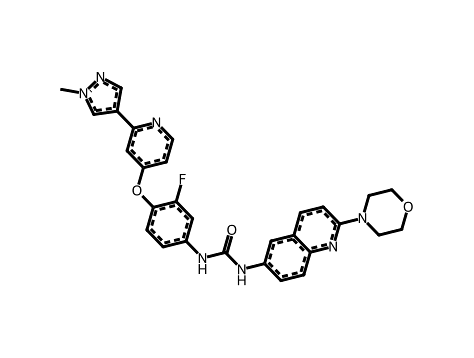 Cn1cc(-c2cc(Oc3ccc(NC(=O)Nc4ccc5nc(N6CCOCC6)ccc5c4)cc3F)ccn2)cn1